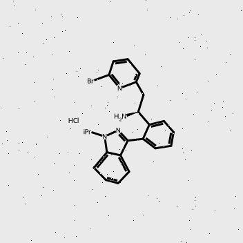 CC(C)n1nc(-c2ccccc2[C@@H](N)Cc2cccc(Br)n2)c2ccccc21.Cl